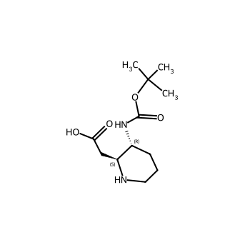 CC(C)(C)OC(=O)N[C@@H]1CCCN[C@H]1CC(=O)O